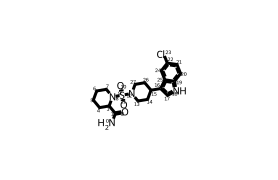 NC(=O)C1CCCCN1S(=O)(=O)N1CCC(c2c[nH]c3ccc(Cl)cc23)CC1